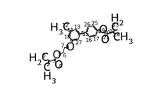 C=C(C)C(=O)OCCOc1cc(C)cc(-c2ccc(OC(=O)C(=C)C)cc2)c1